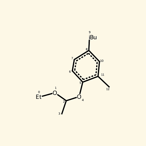 CCOC(C)Oc1ccc(C(C)CC)cc1C